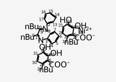 CCCCC(=Nc1ccccc1)C(CCCC)=Nc1ccccc1.CCCCc1ccc(O)c(O)c1C(=O)[O-].CCCCc1ccc(O)c(O)c1C(=O)[O-].[Ni+2]